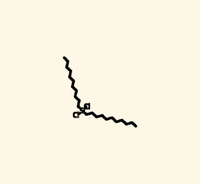 CCCCCCCCCCC[Si](Cl)(Cl)CCCCCCCCCCC